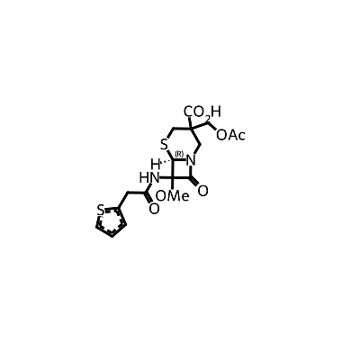 COC1(NC(=O)Cc2cccs2)C(=O)N2CC(COC(C)=O)(C(=O)O)CS[C@@H]21